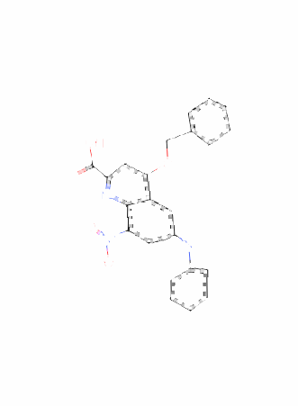 O=C(O)c1cc(OCc2ccccc2)c2cc(Nc3ccccc3)cc([N+](=O)[O-])c2n1